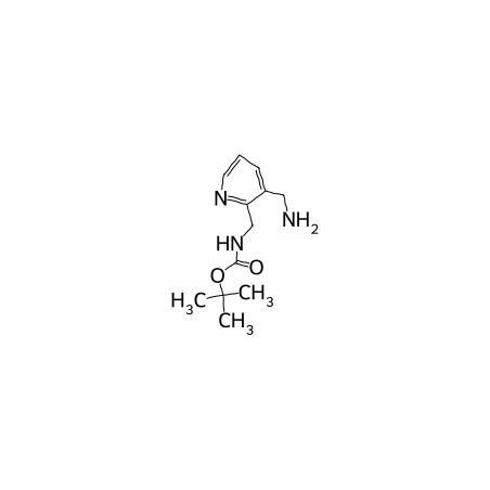 CC(C)(C)OC(=O)NCc1ncccc1CN